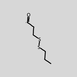 CCCSSCC[C]=O